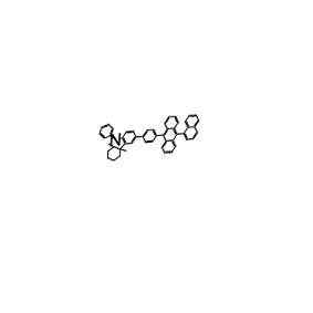 CC12CCCCC1(C)N(c1ccccc1)c1ccc(-c3ccc(-c4c5ccccc5c(-c5cccc6ccccc56)c5ccccc45)cc3)cc12